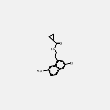 CCc1cc(CCNC(=S)C2CC2)c2cc(OC)ccc2c1